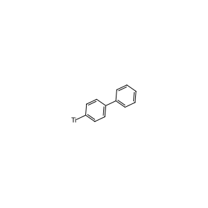 [Ti][c]1ccc(-c2ccccc2)cc1